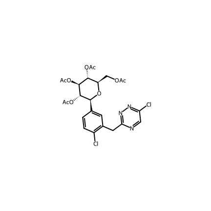 CC(=O)OC[C@H]1O[C@@H](c2ccc(Cl)c(Cc3ncc(Cl)nn3)c2)[C@H](OC(C)=O)[C@@H](OC(C)=O)[C@@H]1OC(C)=O